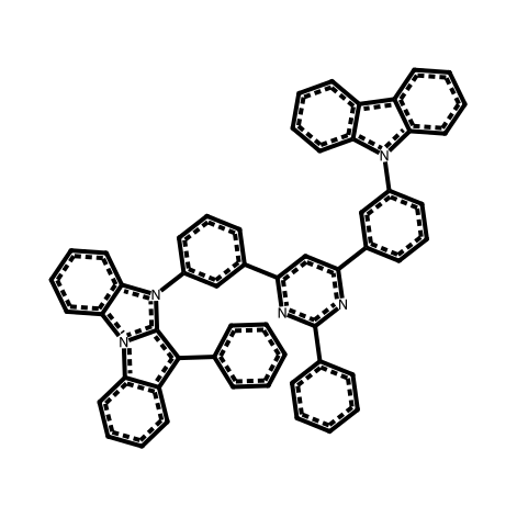 c1ccc(-c2nc(-c3cccc(-n4c5ccccc5c5ccccc54)c3)cc(-c3cccc(-n4c5ccccc5n5c6ccccc6c(-c6ccccc6)c45)c3)n2)cc1